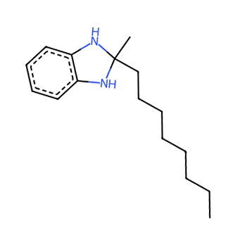 CCCCCCCCC1(C)Nc2ccccc2N1